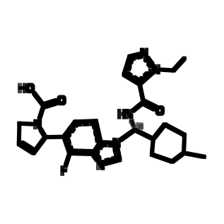 CCn1nccc1C(=O)N[C@H](C1CCC(C)CC1)n1cnc2c(F)c(C3C=CCN3C(=O)O)ccc21